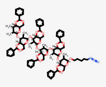 CC1[C@H](O[C@@H]2C(C)[C@H](O[C@@H]3C(C)[C@H](O[C@@H]4C(C)[C@H](O[C@@H]5C(C)[C@H](O[C@@H]6C(C)[C@H](OCCCCCN=[N+]=[N-])OC7COC(c8ccccc8)O[C@H]76)OC6COC(c7ccccc7)O[C@H]65)OC5COC(c6ccccc6)O[C@H]54)OC4COC(c5ccccc5)O[C@H]43)OC3COC(c4ccccc4)O[C@H]32)OC2COC(c3ccccc3)O[C@H]2[C@@H]1C